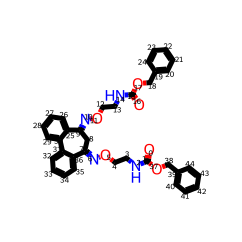 O=C(NCCON=C1CC(=NOCCNC(=O)OCc2ccccc2)c2ccccc2-c2ccccc21)OCc1ccccc1